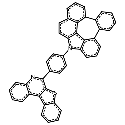 c1ccc2c(c1)-c1cccc3ccc4c(c13)c1c-2cccc1n4-c1ccc(-c2nc3ccccc3c3c2sc2ccccc23)cc1